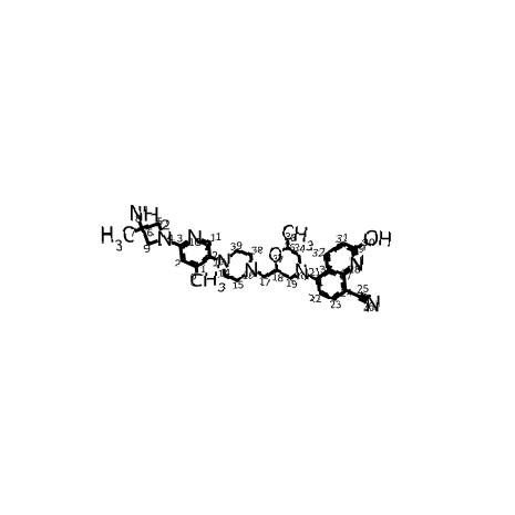 Cc1cc(N2CC(C)(N)C2)ncc1N1CCN(CC2CN(c3ccc(C#N)c4nc(O)ccc34)CC(C)O2)CC1